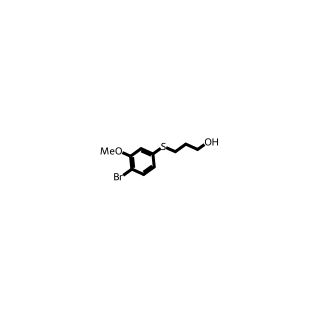 COc1cc(SCCCO)ccc1Br